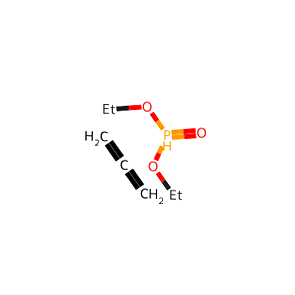 C=C=C.CCO[PH](=O)OCC